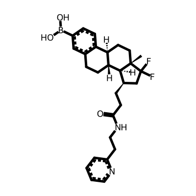 C[C@]12CC[C@@H]3c4ccc(B(O)O)cc4CC[C@H]3[C@@H]1[C@H](CCC(=O)NCCc1ccccn1)CC2(F)F